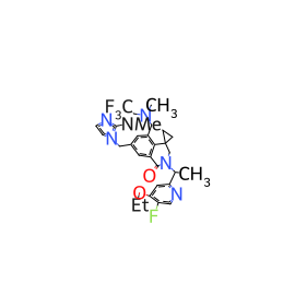 CCOc1cc(C(C)N2CC3(CC3)c3c(CN(C)CC(F)(F)F)cc(Cn4ccnc4NC)cc3C2=O)ncc1F